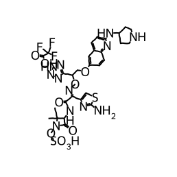 CC1(C)C(NC(=O)C(=NOC(COc2ccc3nc(NC4CCNCC4)ccc3c2)c2nn[nH]n2)c2csc(N)n2)C(=O)N1OS(=O)(=O)O.O=C(O)C(F)(F)F